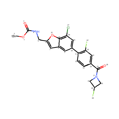 CC(C)(C)OC(=O)NCc1cc2cc(-c3ccc(C(=O)N4CC(F)C4)cc3F)cc(Cl)c2o1